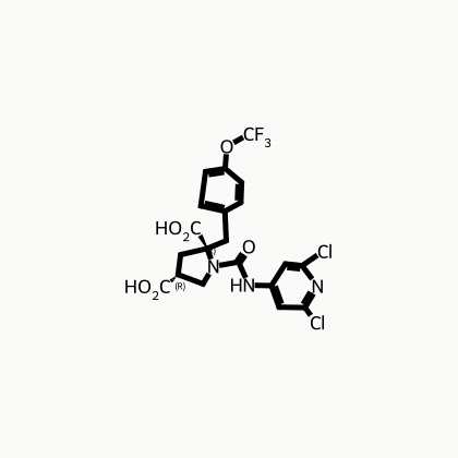 O=C(O)[C@H]1CN(C(=O)Nc2cc(Cl)nc(Cl)c2)[C@](Cc2ccc(OC(F)(F)F)cc2)(C(=O)O)C1